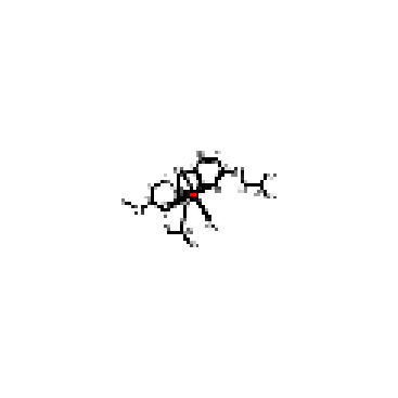 CO[C@H]1CC[C@]2(CC1)Cc1ccc(OCC(C)C)cc1C21NC(=S)N(C(C)C)C1=O